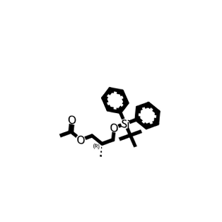 CC(=O)OC[C@@H](C)CO[Si](c1ccccc1)(c1ccccc1)C(C)(C)C